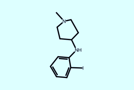 CN1CCC(Nc2ccccc2I)CC1